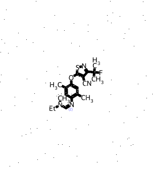 CCN(C)/C=N\c1cc(C)c(Oc2snc(C(C)(C)F)c2C#N)cc1C